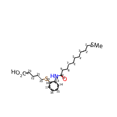 CSCCCCCCCCCC(=O)Nc1ccccc1SCCCCC(=O)O